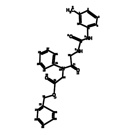 Cc1cccc(NC(=O)NCC(=O)N(CC(=O)OCc2ccccc2)c2ccccc2)c1